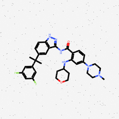 CN1CCN(c2ccc(C(=O)Nc3n[nH]c4ccc(C(C)(C)c5cc(F)cc(F)c5)cc34)c(NC3CCOCC3)c2)CC1